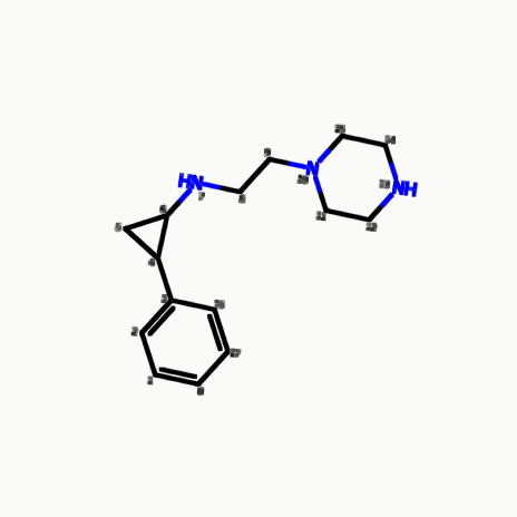 c1ccc(C2CC2NCCN2CCNCC2)cc1